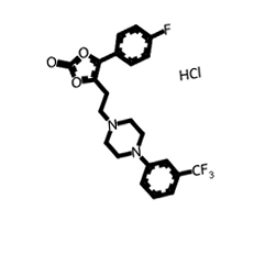 Cl.O=c1oc(CCN2CCN(c3cccc(C(F)(F)F)c3)CC2)c(-c2ccc(F)cc2)o1